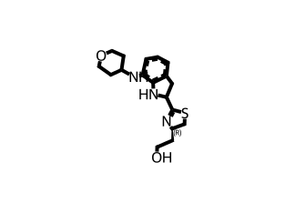 OCC[C@@H]1CSC(C2Cc3cccc(NC4CCOCC4)c3N2)=N1